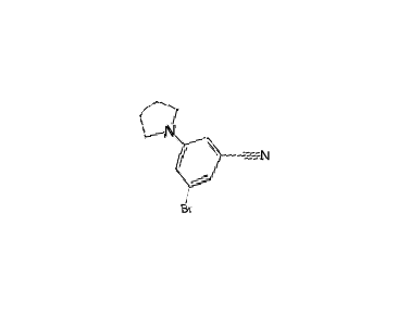 N#Cc1cc(Br)cc(N2CCCC2)c1